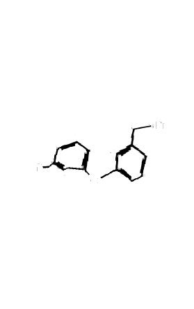 CC(C)Cc1cccc(Oc2cccc(F)c2)c1